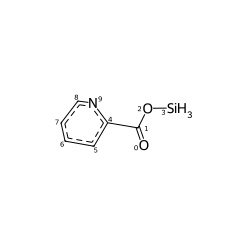 O=C(O[SiH3])c1ccccn1